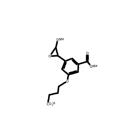 COC(=O)c1cc(OCCCC(=O)O)cc(C2OC2OC)c1